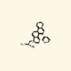 C1=CCOC=C1.CC(N)C[C@@H]1C=CC=c2c1ccc1c3c(ccc21)CCCC=3